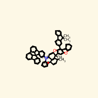 CC1C=CC2(C)C3=C1C1(C)C(=CC3(C)N(c3ccc4c(c3)C3(c5ccccc5-c5ccccc53)c3ccccc3-4)c3ccccc32)Oc2c1cc1oc3ccccc3c1c2-c1ccc2c(c1)C(C)(C)c1ccccc1-2